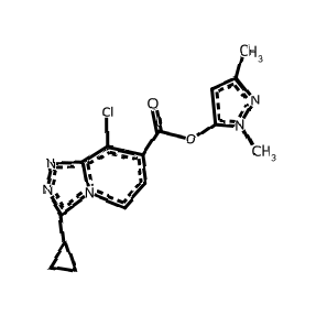 Cc1cc(OC(=O)c2ccn3c(C4CC4)nnc3c2Cl)n(C)n1